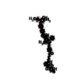 Cc1cc(S(=O)(=O)NC(=O)c2ccc(N3CCN(CC4=C(C56CC(C)(C5)C6)CC(C)(C)CC4)CC3)cc2)ccc1N[C@H](CCN1CCN(C(=O)CCCCCNc2cccc3c2C(=O)N(C2CCC(=O)NC2=O)C3=O)CC1)CSc1ccccc1